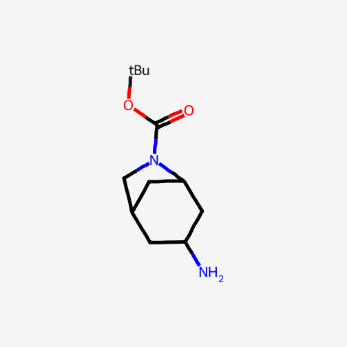 CC(C)(C)OC(=O)N1CC2CC(N)CC1C2